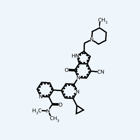 C[C@H]1CCCN(Cc2cc3c(C#N)cn(-c4cc(-c5cccnc5C(=O)N(C)C)cc(C5CC5)n4)c(=O)c3[nH]2)C1